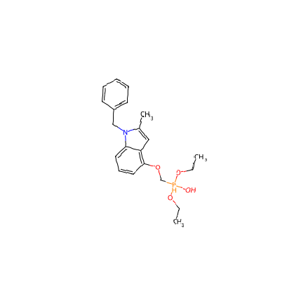 CCO[PH](O)(COc1cccc2c1cc(C)n2Cc1ccccc1)OCC